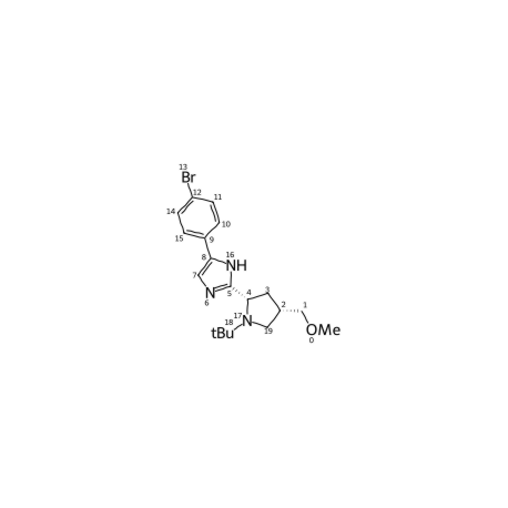 COC[C@H]1C[C@@H](c2ncc(-c3ccc(Br)cc3)[nH]2)N(C(C)(C)C)C1